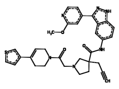 C#CCC1(C(=O)Nc2ccc3[nH]nc(-c4ccnc(OC)c4)c3c2)CCN(CC(=O)N2CC=C(c3ccsc3)CC2)C1